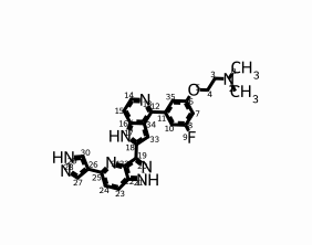 CN(C)CCOc1cc(F)cc(-c2nccc3[nH]c(-c4n[nH]c5ccc(-c6cn[nH]c6)nc45)cc23)c1